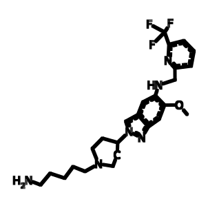 COc1cc2nn(C3CCN(CCCCCN)CC3)cc2cc1NCc1cccc(C(F)(F)F)n1